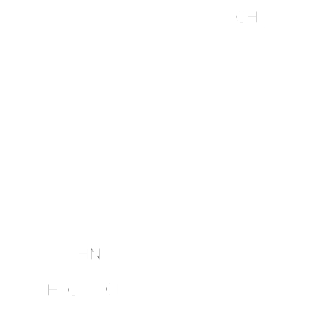 CCCCCCCCCCCCCCNC(C)C